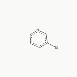 CCc1cc[c]nc1